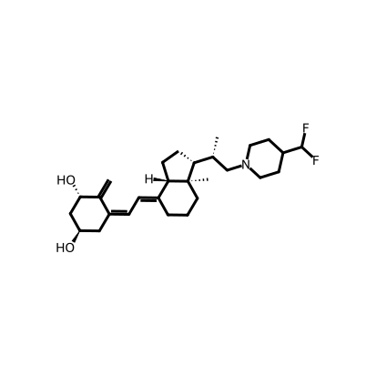 C=C1/C(=C\C=C2/CCC[C@]3(C)[C@@H]([C@H](C)CN4CCC(C(F)F)CC4)CC[C@@H]23)C[C@@H](O)C[C@@H]1O